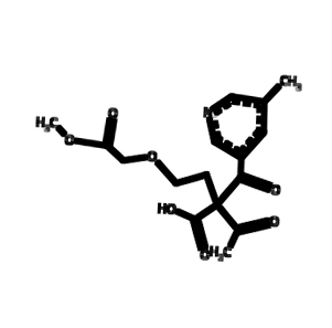 COC(=O)COCCC(C(C)=O)(C(=O)O)C(=O)c1cncc(C)c1